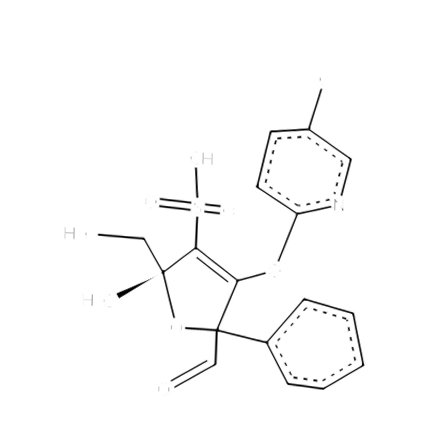 CC[C@@]1(C)OC(C=O)(c2ccccc2)C(Oc2ccc(Cl)cn2)=C1S(C)(=O)=O